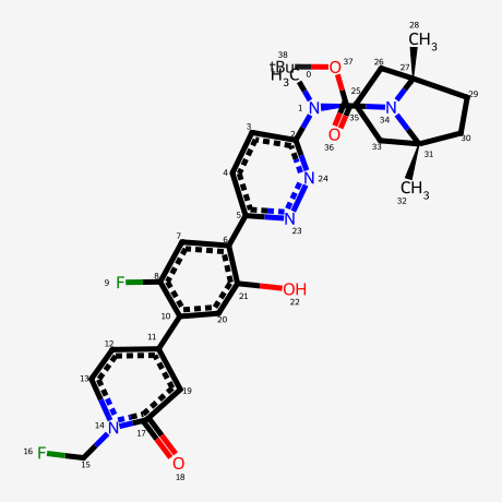 CN(c1ccc(-c2cc(F)c(-c3ccn(CF)c(=O)c3)cc2O)nn1)[C@H]1C[C@]2(C)CC[C@](C)(C1)N2C(=O)OC(C)(C)C